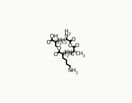 C[C@H](N)C(=O)OC(=O)[C@H](C)N.NCCCC[C@H](N)C(=O)OC[C@H](N)C(=O)O